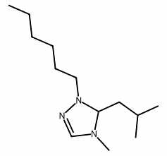 CCCCCCN1N=CN(C)C1CC(C)C